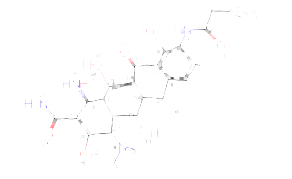 CCCCCCCCCCCC(=O)Nc1ccc2c(c1O)C(=O)C1=C(O)[C@]3(O)C(=N)C(C(N)=O)=C(O)[C@@H](N(C)C)C3[C@@H](O)C1[C@H]2C